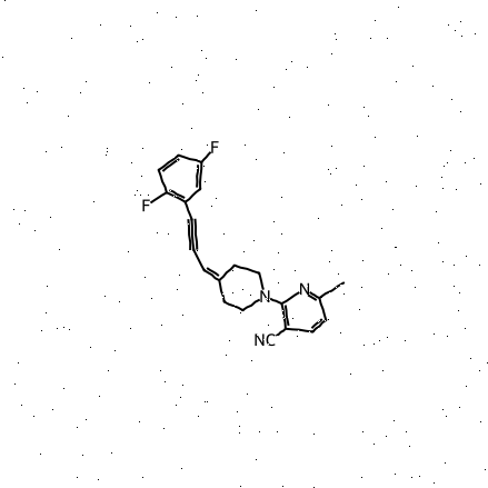 Cc1ccc(C#N)c(N2CCC(=CC#Cc3cc(F)ccc3F)CC2)n1